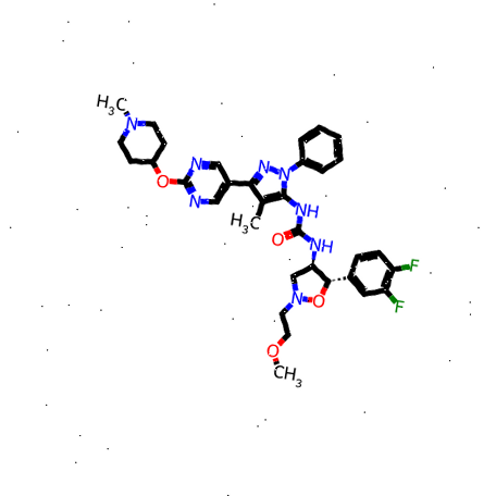 COCCN1C[C@@H](NC(=O)Nc2c(C)c(-c3cnc(OC4CCN(C)CC4)nc3)nn2-c2ccccc2)[C@H](c2ccc(F)c(F)c2)O1